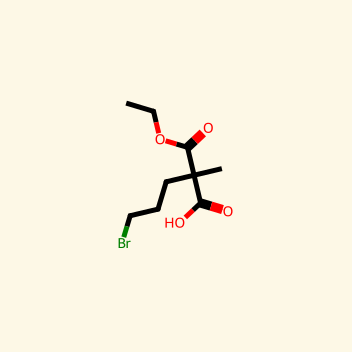 CCOC(=O)C(C)(CCCBr)C(=O)O